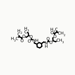 C=C(C)C(=O)OCC(CC)OC(=O)NCC1CCCC(CNC(=O)OC(CC)COC(=O)C(=C)C)C1